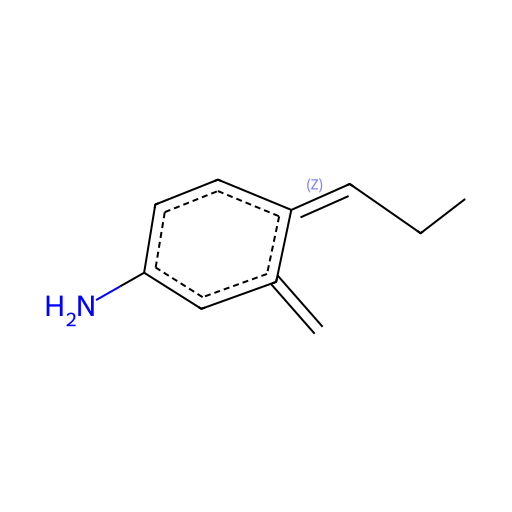 C=c1cc(N)cc/c1=C/CC